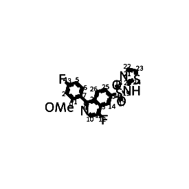 COc1cc(F)ccc1-c1ncc(F)c2cc(S(=O)(=O)Nc3nccs3)ccc12